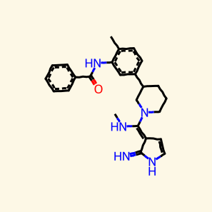 CN/C(=C1/C=CNC1=N)N1CCCC(c2ccc(C)c(NC(=O)c3ccccc3)c2)C1